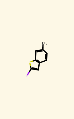 FC(F)(F)c1ccc2cc(I)sc2c1